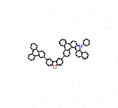 c1ccc(-n2c3ccc4c5ccccc5c5cc(-c6ccc7oc8ccc(-c9ccc%10c%11ccccc%11c%11ccccc%11c%10c9)cc8c7c6)ccc5c4c3c3ccc4ccccc4c32)cc1